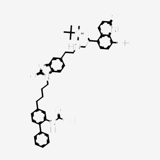 CC(C)(C)[Si](C)(C)O[C@H](CNCCc1ccc2c(c1)oc(=O)n2CCCCc1ccc(-c2ccccc2)c(NC(=O)O)c1)c1ccc(O)c2[nH]c(=O)ccc12